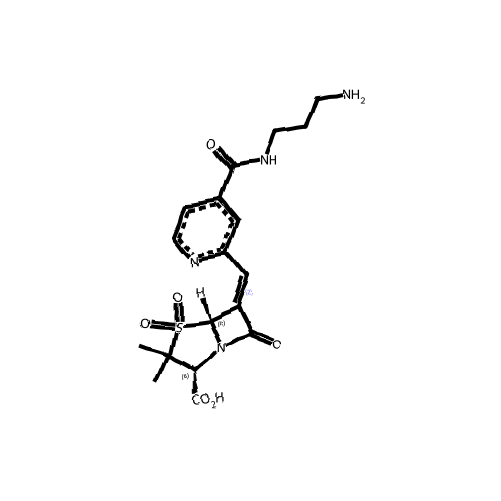 CC1(C)[C@H](C(=O)O)N2C(=O)/C(=C/c3cc(C(=O)NCCCN)ccn3)[C@H]2S1(=O)=O